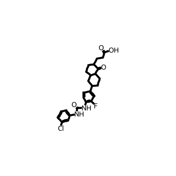 O=C(O)CCC1CCC2CC(c3ccc(NC(=O)Nc4cccc(Cl)c4)c(F)c3)CCC2C1=O